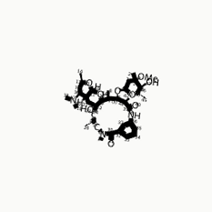 CO[C@]1(C)C[C@H](O[C@H]2[C@H](C)[C@H]3O[C@@H]4O[C@H](C)C[C@H](N(C)C)[C@H]4C[C@@]3(O)C[C@@H](C)CN(C)C(=O)c3cccc(c3)NC(=O)[C@@H]2C)O[C@@H](C)[C@@H]1O